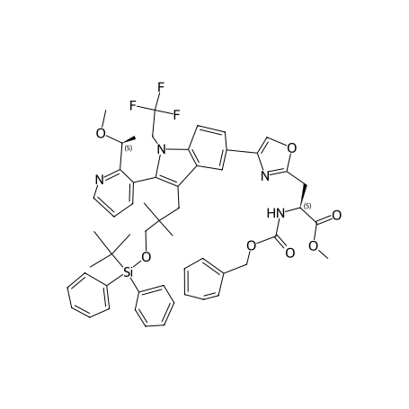 COC(=O)[C@H](Cc1nc(-c2ccc3c(c2)c(CC(C)(C)CO[Si](c2ccccc2)(c2ccccc2)C(C)(C)C)c(-c2cccnc2[C@H](C)OC)n3CC(F)(F)F)co1)NC(=O)OCc1ccccc1